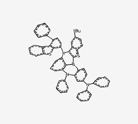 CC(C)(C)c1ccc2sc3c(c2c1)N(c1ccc(-c2ccccc2)c2c1sc1ccccc12)c1cccc2c1B3c1ccc(N(c3ccccc3)c3ccccc3)cc1N2c1ccccc1